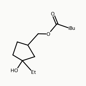 CCC(C)C(=O)OCC1CCC(O)(CC)C1